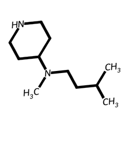 CC(C)CCN(C)C1CCNCC1